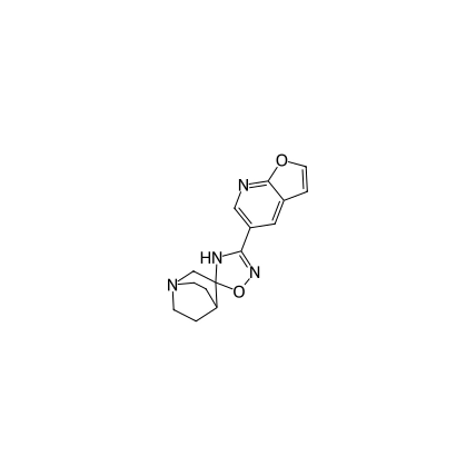 c1cc2cc(C3=NOC4(CN5CCC4CC5)N3)cnc2o1